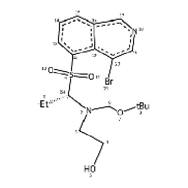 C[CH][C@@H](N(CCO)COC(C)(C)C)S(=O)(=O)c1cccc2cncc(Br)c12